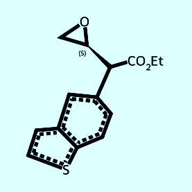 CCOC(=O)C(c1ccc2sccc2c1)[C@H]1CO1